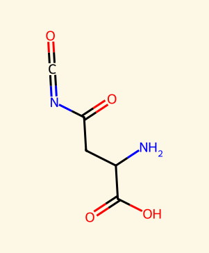 NC(CC(=O)N=C=O)C(=O)O